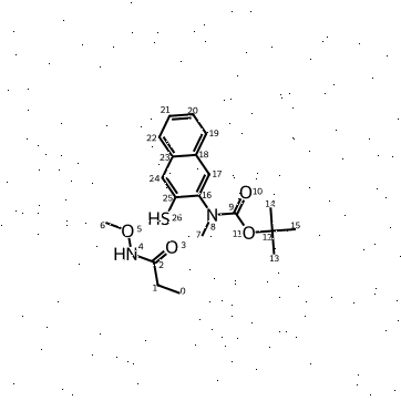 CCC(=O)NOC.CN(C(=O)OC(C)(C)C)c1cc2ccccc2cc1S